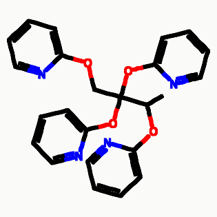 CC(Oc1ccccn1)C(COc1ccccn1)(Oc1ccccn1)Oc1ccccn1